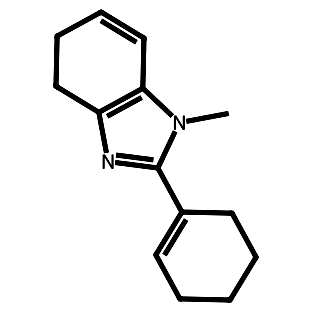 Cn1c(C2=CCCCC2)nc2c1C=CCC2